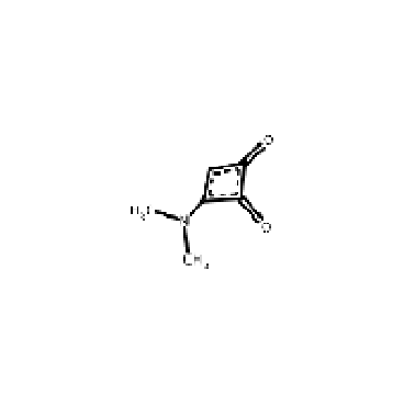 CN(C)c1cc(=O)c1=O